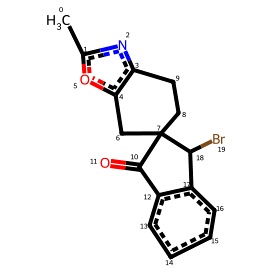 Cc1nc2c(o1)CC1(CC2)C(=O)c2ccccc2C1Br